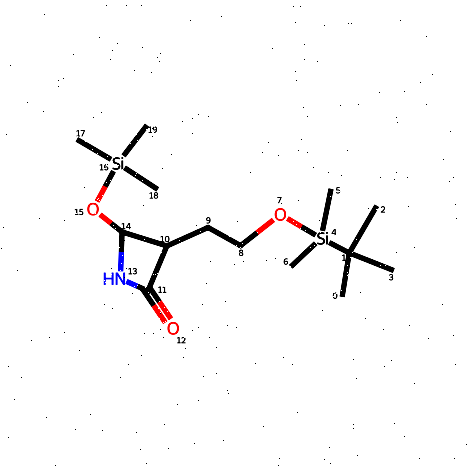 CC(C)(C)[Si](C)(C)OCCC1C(=O)NC1O[Si](C)(C)C